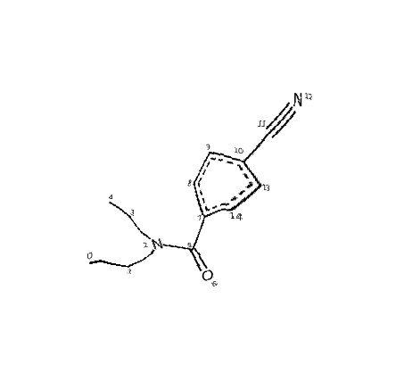 CCN(CC)C(=O)c1ccc(C#N)cc1